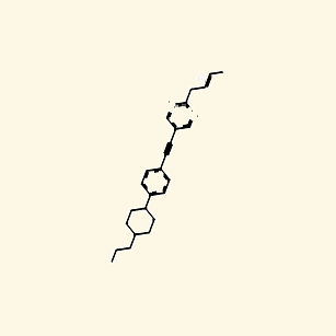 C/C=C/Cc1ncc(C#Cc2ccc(C3CCC(CCC)CC3)cc2)cn1